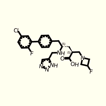 O=C(O)[C@@H](C[C@@H](Cc1ccc(-c2cc(Cl)ccc2F)cc1)NCc1cnn[nH]1)CN1CC(F)C1